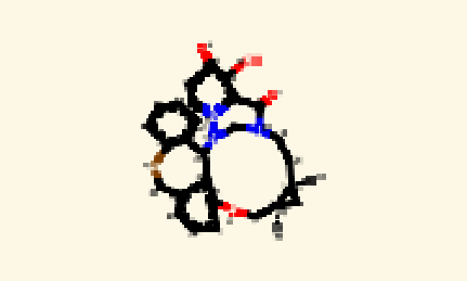 O=C1c2c(O)c(=O)ccn2N2CN1CC[C@@H]1C[C@H]1COc1cccc3c1C2c1ccccc1SC3